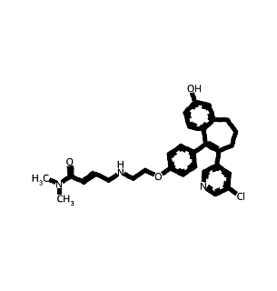 CN(C)C(=O)/C=C/CNCCOc1ccc(C2=C(c3cncc(Cl)c3)CCCc3cc(O)ccc32)cc1